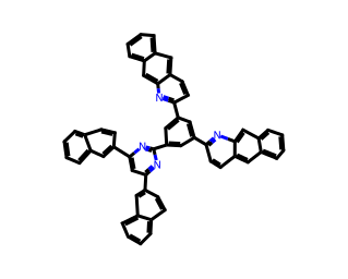 c1ccc2cc(-c3cc(-c4ccc5ccccc5c4)nc(-c4cc(-c5ccc6cc7ccccc7cc6n5)cc(-c5ccc6cc7ccccc7cc6n5)c4)n3)ccc2c1